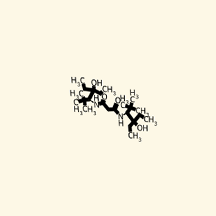 CCC(O)(CC)[C@H](NC(=O)CC(=O)N[C@H](C(C)(C)C)C(O)(CC)CC)C(C)(C)C